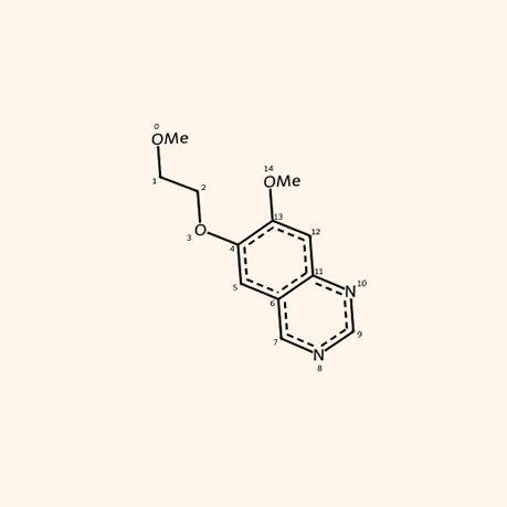 COCCOc1cc2cncnc2cc1OC